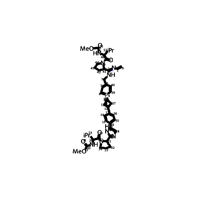 C=C/N=C(\NCC1=CC=[PH](C23CC(c4ccc(-c5cnc(C6CCCN6C(=O)C(NC(=O)OC)C(C)C)[nH]5)cc4)(C2)C3)C=C1)C1CCCN1C(=O)C(NC(=O)OC)C(C)C